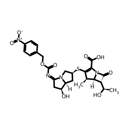 C[C@@H](O)[C@H]1C(=O)N2C(C(=O)O)=C(S[C@H]3C[C@H]4[C@@H](O)CC(=NC(=O)OCc5ccc([N+](=O)[O-])cc5)N4C3)[C@H](C)[C@H]12